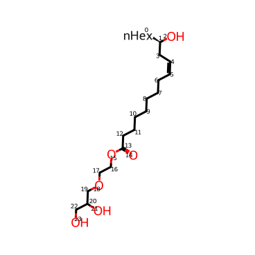 CCCCCC[C@@H](O)C/C=C\CCCCCCCC(=O)OCCOCC(O)CO